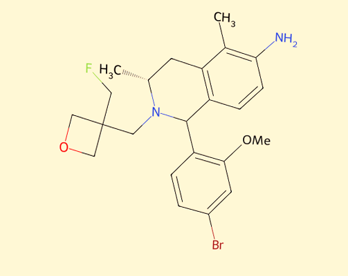 COc1cc(Br)ccc1C1c2ccc(N)c(C)c2C[C@@H](C)N1CC1(CF)COC1